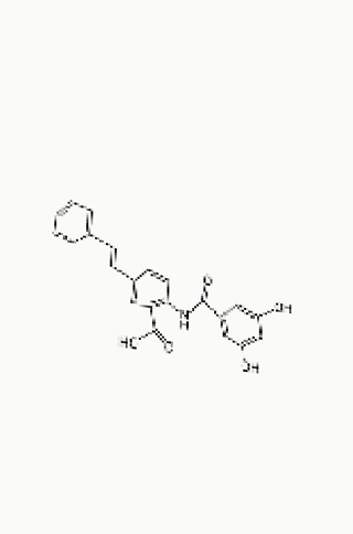 O=C(Nc1ccc(C=Cc2ccccc2)cc1C(=O)O)c1cc(O)cc(O)c1